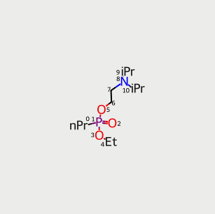 CCCP(=O)(OCC)OCCN(C(C)C)C(C)C